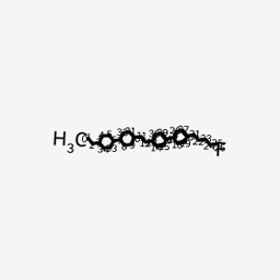 CCCC1CCC(C2CCC(CCc3ccc(-c4ccc(CCCCCF)cc4)cc3)CC2)CC1